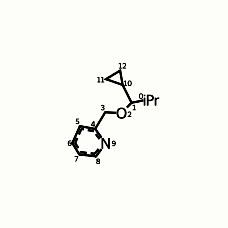 CC(C)C(OCc1ccccn1)C1CC1